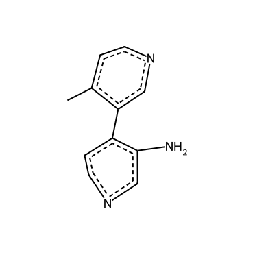 Cc1ccncc1-c1ccncc1N